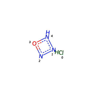 Cl.n1no[nH]1